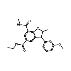 CCNC(=O)c1cc(C(=O)NC)c2c(c1)C(c1cccc(OC)c1)C(C)O2